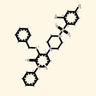 O=c1c(SCc2ccccc2)c(N2CCN(S(=O)(=O)c3ccc(Cl)cc3Cl)CC2)cnn1-c1ccccc1